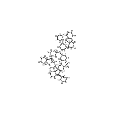 CC1(C)c2ccc(N(c3ccc(C4(c5ccccc5)c5ccccc5-c5ccccc54)cc3)c3cccc(-n4c5ccccc5c5ccccc54)c3)cc2-c2cc3c4ccccc4n(-c4ccccc4)c3cc21